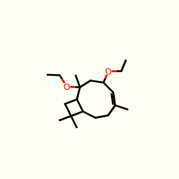 CCOC1C=C(C)CCC2C(CC2(C)C)C(C)(OCC)C1